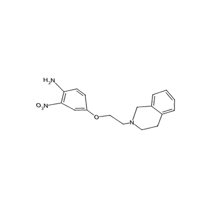 Nc1ccc(OCCN2CCc3ccccc3C2)cc1[N+](=O)[O-]